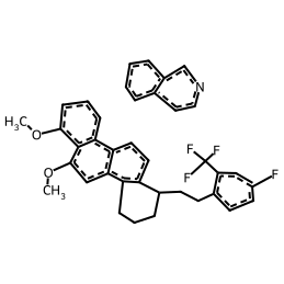 COc1cccc2c1c(OC)cc1c3c(ccc12)C(CCc1ccc(F)cc1C(F)(F)F)CCC3.c1ccc2cnccc2c1